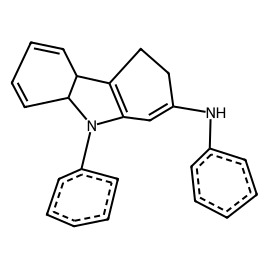 C1=CC2C3=C(C=C(Nc4ccccc4)CC3)N(c3ccccc3)C2C=C1